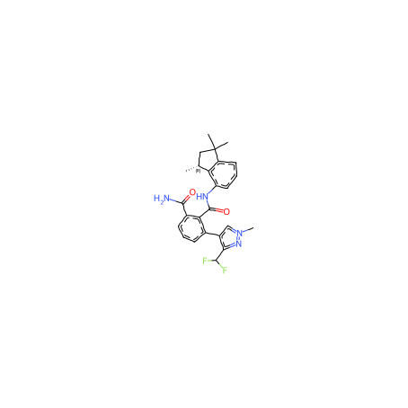 C[C@@H]1CC(C)(C)c2cccc(NC(=O)c3c(C(N)=O)cccc3-c3cn(C)nc3C(F)F)c21